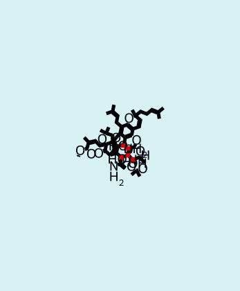 C=C(N)C(/C(N)=N\O)C1C2CC3C(C)(C)OC(C/C=C(/C)C(=O)OC)(C2=O)C32Oc3c(CC=C(C)C)c4c(c(O[C@H]5O[C@H]6COC(C)(C)O[C@@H]6[C@@H](O)[C@@H]5O)c3C(=O)C12)C=CC(C)(CCC=C(C)C)O4